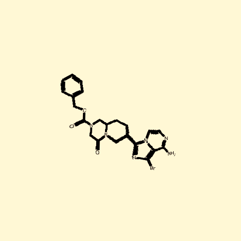 Nc1nccn2c(C3CCC4CN(C(=O)OCc5ccccc5)CC(=O)N4C3)nc(Br)c12